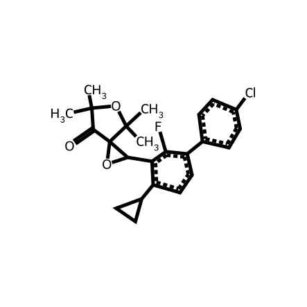 CC1(C)OC(C)(C)C2(OC2c2c(C3CC3)ccc(-c3ccc(Cl)cc3)c2F)C1=O